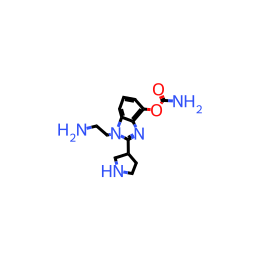 NCCn1c(C2CCNC2)nc2c(OC(N)=O)cccc21